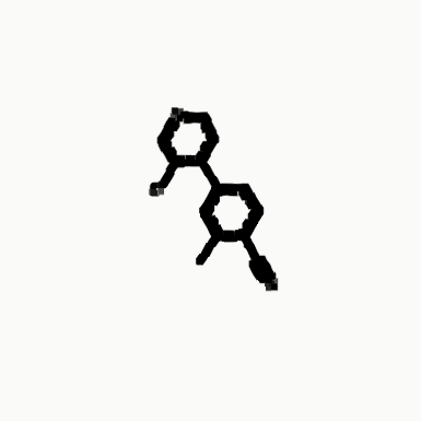 Cc1cc(-c2ccncc2Cl)ccc1C#N